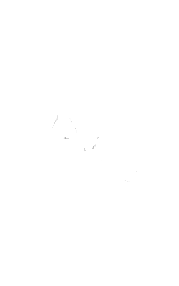 CCc1ccc(OC(=O)C2CCC3COC3C2)cc1